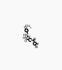 COc1ccc(CNc2nc3c(c(=O)[nH]2)CCN(C(=O)c2ccc(Br)c(F)c2)C3)cc1